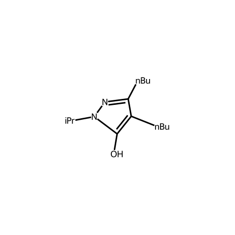 CCCCc1nn(C(C)C)c(O)c1CCCC